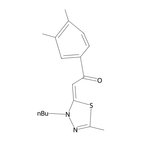 CCCCN1N=C(C)SC1=CC(=O)c1ccc(C)c(C)c1